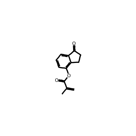 C=C(C)C(=O)Oc1cccc2c1CCC2=O